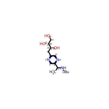 CC[C@@H](C)NC(C)c1cnc(C[C@H](O)[C@H](O)CO)cn1